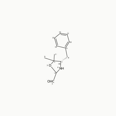 CC1(C)OC(C=O)N[C@H]1Cc1ccccc1